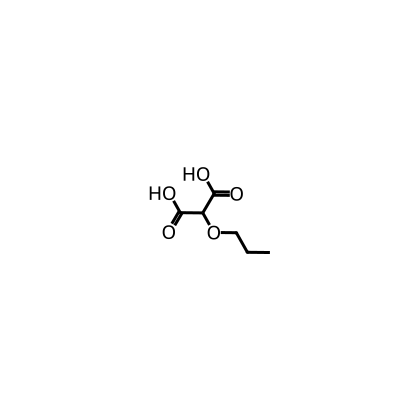 CCCOC(C(=O)O)C(=O)O